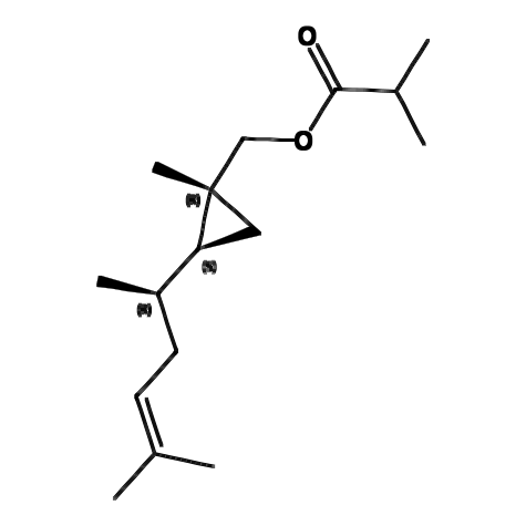 CC(C)=CC[C@@H](C)[C@@H]1C[C@@]1(C)COC(=O)C(C)C